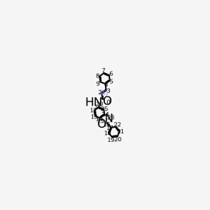 O=C(/C=C/c1ccccc1)Nc1ccc2oc(-c3ccccc3)nc2c1